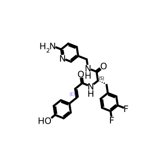 Nc1ccc(CNC(=O)[C@H](Cc2ccc(F)c(F)c2)NC(=O)/C=C/c2ccc(O)cc2)cn1